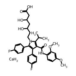 COc1ccc(NC(=O)c2c(-c3ccc(F)cc3)c(-c3ccc(F)cc3)n(CCC(O)CC(O)CC(=O)O)c2C(C)C)c(OC)c1.[CaH2]